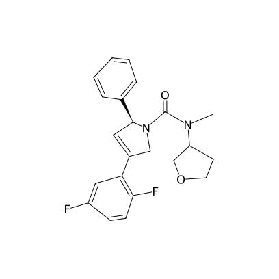 CN(C(=O)N1CC(c2cc(F)ccc2F)=C[C@H]1c1ccccc1)C1CCOC1